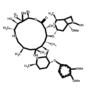 CCCN1CC2[C@H](C)O[C@@H](O[C@H]3[C@H](C)[C@@H](O[C@@H]4O[C@H](C)CC[C@H]4Oc4ccc(OC)c(OC)c4)[C@](C)(O)C[C@@H](C)CN[C@H](C)[C@@H](O)[C@](C)(O)[C@@H](CC)OC(=O)[C@@H]3C)C[C@@]21OC